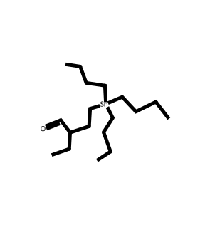 CCC[CH2][Sn]([CH2]CCC)([CH2]CCC)[CH2]CC(C=O)CC